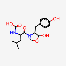 CC(C)CC(NC(=O)O)C(=O)N1COC(O)C1Cc1ccc(O)cc1